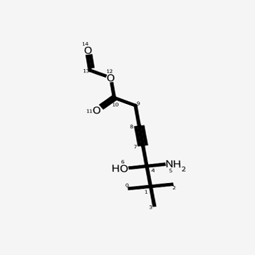 CC(C)(C)C(N)(O)C#CCC(=O)OC=O